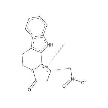 C[C@H]1CC23c4[nH]c5ccccc5c4CCN2C(=O)CC3[C@@H]1C[N+](=O)[O-]